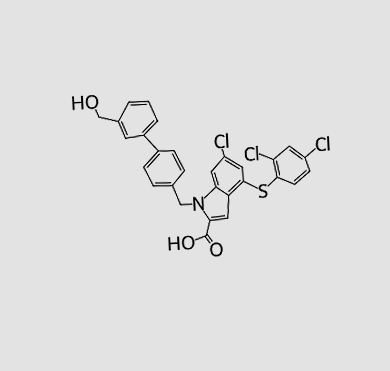 O=C(O)c1cc2c(Sc3ccc(Cl)cc3Cl)cc(Cl)cc2n1Cc1ccc(-c2cccc(CO)c2)cc1